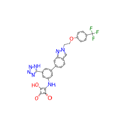 O=c1c(O)c(Nc2cc(-c3ccc4cn(CCOc5ccc(C(F)(F)F)cc5)nc4c3)cc(-c3nnn[nH]3)c2)c1=O